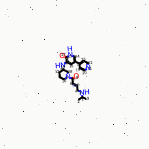 CC(C)NC/C=C/C(=O)N1CCC[C@H](Nc2cc(-c3ccncc3)c[nH]c2=O)C1